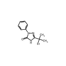 CCC(C)(C)c1nn(-c2ccccc2)c(=O)[nH]1